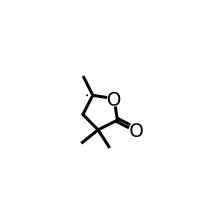 C[C]1CC(C)(C)C(=O)O1